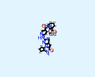 CN(C)C(=O)c1cc2cnc(Nc3ccc(C(=O)N4CC5CCC(C(=O)OC(C)(C)C)(C4)N5)cn3)nc2n1C1CCCC1